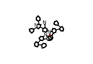 N#Cc1cc(-n2c3ccccc3c3cc(-c4ccccc4-c4ccccc4)ccc32)c(N2c3ccc(-c4ccccc4-c4ccccc4)cc3C3C=CC=CC32)cc1-c1cc(-c2ccccc2)nc(-c2ccccc2)c1